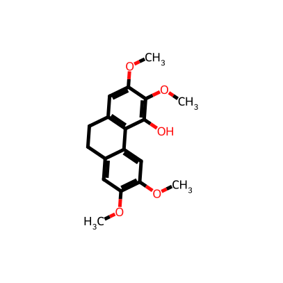 COc1cc2c(cc1OC)-c1c(cc(OC)c(OC)c1O)CC2